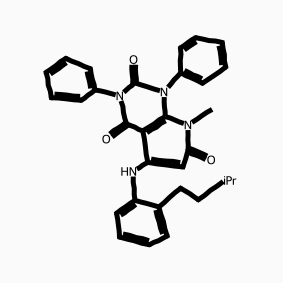 CC(C)CCc1ccccc1Nc1cc(=O)n(C)c2c1c(=O)n(-c1ccccc1)c(=O)n2-c1ccccc1